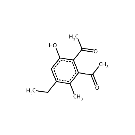 CCc1cc(O)c(C(C)=O)c(C(C)=O)c1C